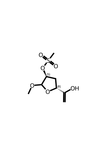 C=C(O)[C@H]1C[C@H](OS(C)(=O)=O)C(OC)O1